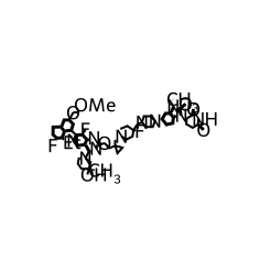 CCc1c(F)ccc2cc(OCOC)cc(-c3ncc4c(N5CCC[C@@](C)(O)C5)nc(OCC5(CN6CCC(F)(CN7CCN(c8ccc9c(c8)n(C)c(=O)n9C8CCC(=O)NC8=O)CC7)CC6)CC5)nc4c3F)c12